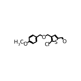 COc1ccc(COCc2cc(C=O)sc2Cl)cc1